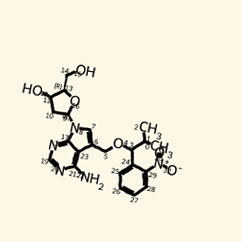 CC(C)C(OCc1cn([C@H]2CC(O)[C@@H](CO)O2)c2ncnc(N)c12)c1ccccc1[N+](=O)[O-]